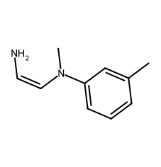 Cc1cccc(N(C)/C=C\N)c1